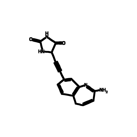 NC1=Nc2cc(C#CC3NC(=O)NC3=O)ccc2CC=C1